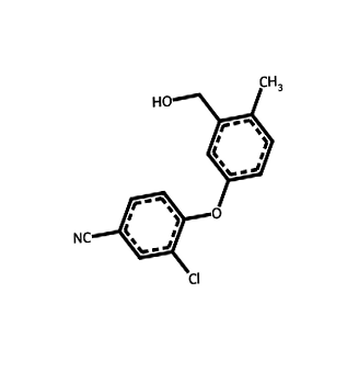 Cc1ccc(Oc2ccc(C#N)cc2Cl)cc1CO